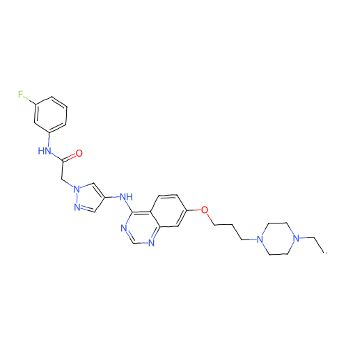 [CH2]CN1CCN(CCCOc2ccc3c(Nc4cnn(CC(=O)Nc5cccc(F)c5)c4)ncnc3c2)CC1